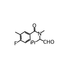 Cc1cc(C(=O)N(C)C(C=O)C(C)C)ccc1F